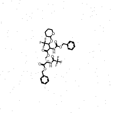 O=C(NC(C(=O)OC[C@H](NC(=O)C(F)(F)F)C(=O)OCc1ccccc1)C(OC1CCCCO1)C(F)(F)F)OCc1ccccc1